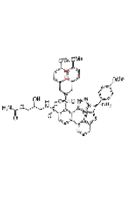 COc1ccc(CN(Cc2ccc(OC)cc2)S(=O)(=O)c2c(S(=O)(=O)NCC(O)COC(N)=O)ccc(-c3cccc4sc(CN)nc34)c2-c2nnn(Cc3ccc(OC)cc3)n2)cc1